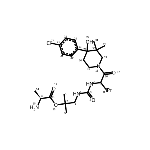 CC(C)C(NC(=O)NCC(C)(C)OC(=O)[C@H](C)N)C(=O)N1CCC(O)(c2ccc(Cl)cc2)C(C)(C)C1